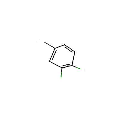 C[CH]Cc1ccc(Cl)c(F)c1